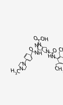 CCc1cccc(CC)c1NC(=O)N1Cc2c(NC(=O)c3ccc(N4CCN(C)CC4)cc3)nn(C(=O)O)c2C1